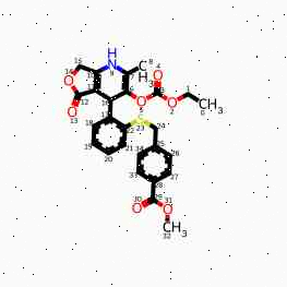 CCOC(=O)OC1=C(C)NC2=C(C(=O)OC2)C1c1ccccc1SCc1ccc(C(=O)OC)cc1